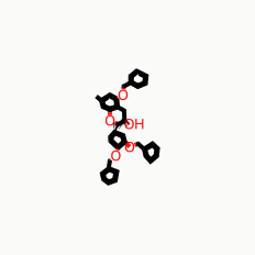 Cc1cc(OCc2ccccc2)c2c(c1)O[C@H](c1ccc(OCc3ccccc3)c(OCc3ccccc3)c1)[C@H](O)C2